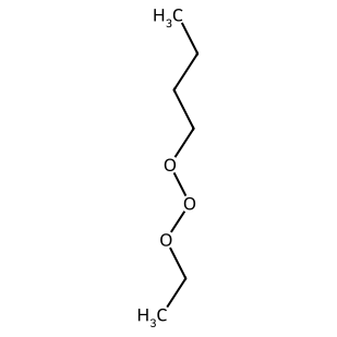 CCCCOOOCC